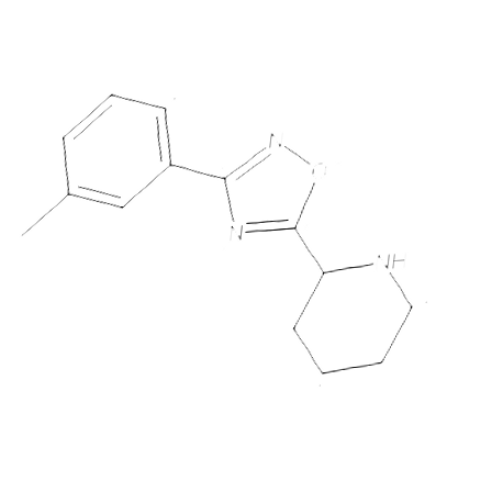 Cc1cccc(-c2noc(C3CCCCN3)n2)c1